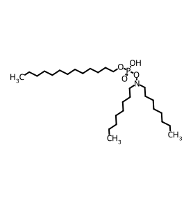 CCCCCCCCCCCCCOP(=O)(O)ON(CCCCCCCC)CCCCCCCC